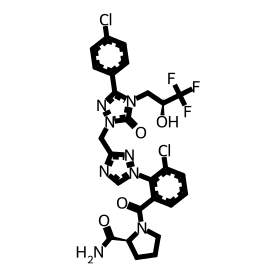 NC(=O)[C@@H]1CCCN1C(=O)c1cccc(Cl)c1-n1cnc(Cn2nc(-c3ccc(Cl)cc3)n(C[C@H](O)C(F)(F)F)c2=O)n1